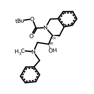 CN(Cc1ccccc1)C[C@@H](O)[C@@H]1Cc2ccccc2CN1C(=O)OC(C)(C)C